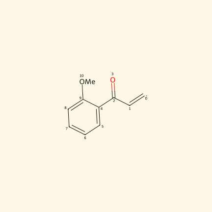 [CH]=CC(=O)c1ccccc1OC